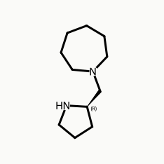 C1CCCN(C[C@H]2CCCN2)CC1